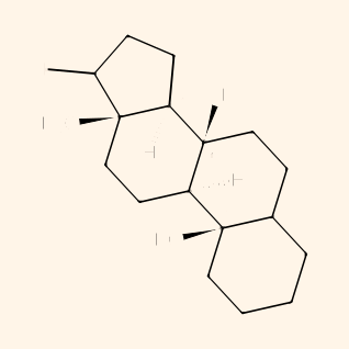 C[C@]12CCCCC1CC[C@@H]1[C@@H]2CC[C@]2(C)C(I)CC[C@@H]12